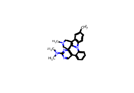 Cc1ccc2c(c1)c1c(n2-c2ccccc2-c2cnc(N(C)C)nc2)CCN(C)C1